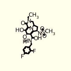 CCN1CC2C[C@H](NS(C)(=O)=O)C3=C(C(=O)NCc4ccc(F)cc4F)C(O)C(O)=C(C1=O)N32